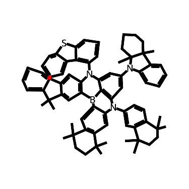 CC1(C)CCC(C)(C)c2cc(N3c4cc5c(cc4B4c6cc7c(cc6N(c6cccc8sc9ccccc9c68)c6cc(N8c9ccccc9C9(C)CCCCC89C)cc3c64)-c3ccccc3C7(C)C)C(C)(C)CCC5(C)C)ccc21